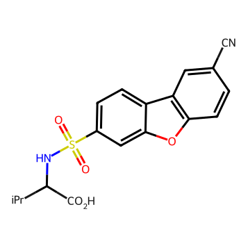 CC(C)C(NS(=O)(=O)c1ccc2c(c1)oc1ccc(C#N)cc12)C(=O)O